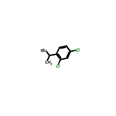 CC(c1ccc(Cl)cc1Cl)C(C)(C)C